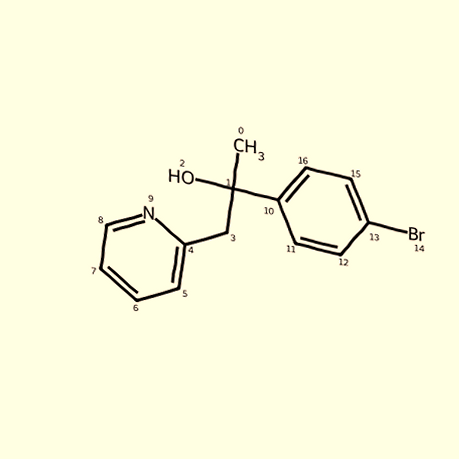 CC(O)(Cc1ccccn1)c1ccc(Br)cc1